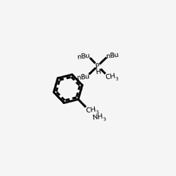 CCCC[PH](C)(CCCC)CCCC.Cc1ccccc1.N